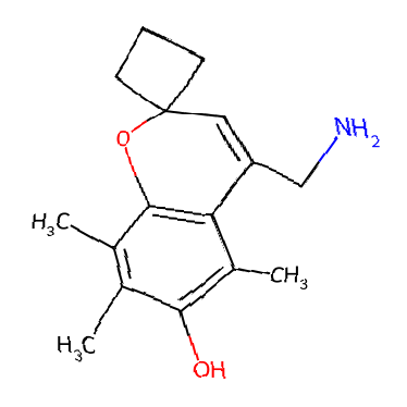 Cc1c(C)c2c(c(C)c1O)C(CN)=CC1(CCC1)O2